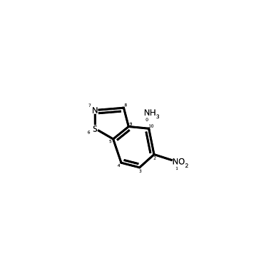 N.O=[N+]([O-])c1ccc2sncc2c1